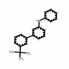 CC(C)(C)c1cccc(-c2cccc(Nc3ccccc3)c2)c1